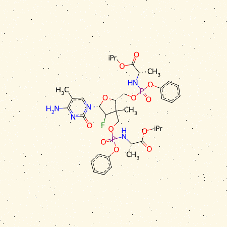 Cc1cn([C@@H]2O[C@H](COP(=O)(N[C@@H](C)C(=O)OC(C)C)Oc3ccccc3)C(C)(COP(=O)(N[C@@H](C)C(=O)OC(C)C)Oc3ccccc3)C2F)c(=O)nc1N